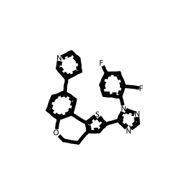 Fc1ccc(-n2ncnc2-c2cc3c(s2)-c2cc(-c4cccnc4)ccc2OCC3)c(F)c1